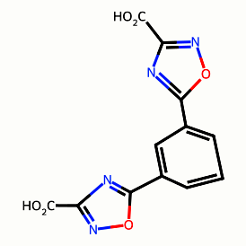 O=C(O)c1noc(-c2cccc(-c3nc(C(=O)O)no3)c2)n1